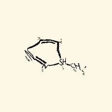 [CH2][SH]1C=CN=N1